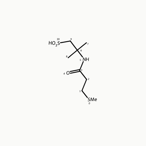 CSCCC(=O)NC(C)(C)CS(=O)(=O)O